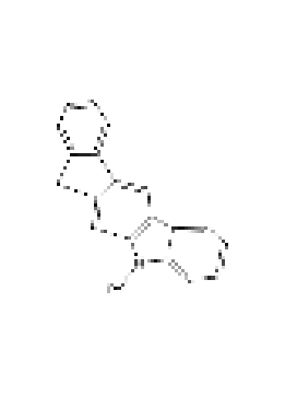 CC(C)n1c2ccccc2c2cc3c(cc21)Cc1ccccc1-3